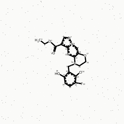 CCOC(=O)c1cnn2cc3c(nc12)N(Cc1c(O)ccc(F)c1Cl)CCO3